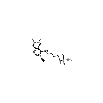 C#Cc1cnc2cc(C)c(C)cc2c1NCCCCNS(N)(=O)=O